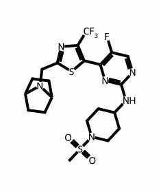 CS(=O)(=O)N1CCC(Nc2ncc(F)c(-c3sc(CN4C5CCC4CC5)nc3C(F)(F)F)n2)CC1